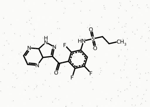 CCCS(=O)(=O)Nc1cc(F)c(F)c(C(=O)C2=NNC3N=CC=NC23)c1F